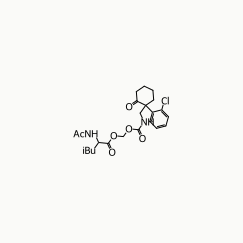 CCC(C)C(NC(C)=O)C(=O)OCOC(=O)NCC1(c2ccccc2Cl)CCCCC1=O